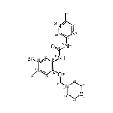 Cc1cnc(NC(=O)Nc2cc(Br)c(C)cc2OCN2CCOCC2)cn1